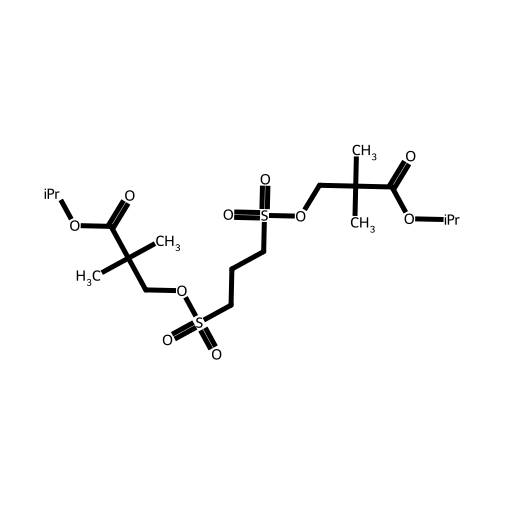 CC(C)OC(=O)C(C)(C)COS(=O)(=O)CCCS(=O)(=O)OCC(C)(C)C(=O)OC(C)C